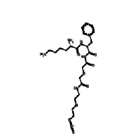 [N-]=[N+]=NCCOCCNC(=O)COCC(=O)NC(=O)[C@H](Cc1ccccc1)NC(=O)[C@@H](N)CCCCN